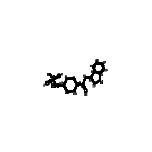 CS(=O)(=O)NC1CCN(C(=O)CC2CCc3ccccc32)CC1